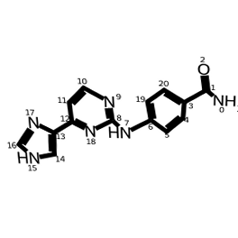 NC(=O)c1ccc(Nc2nccc(-c3c[nH]cn3)n2)cc1